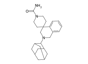 NC(=O)N1CCC2(CC1)CN(C1C3CC4CC(C3)CC1C4)Cc1ccccc12